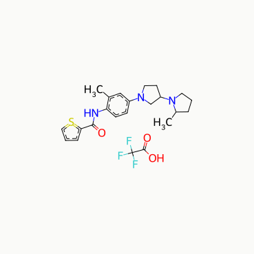 Cc1cc(N2CCC(N3CCCC3C)C2)ccc1NC(=O)c1cccs1.O=C(O)C(F)(F)F